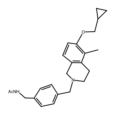 CC(=O)NCc1ccc(CN2CCc3c(ccc(OCC4CC4)c3C)C2)cc1